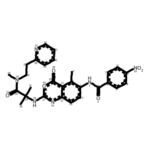 Cc1c(NC(=O)c2ccc([N+](=O)[O-])cc2)ccc2nc(NC(C)(C)C(=O)N(C)CCc3ccccn3)oc(=O)c12